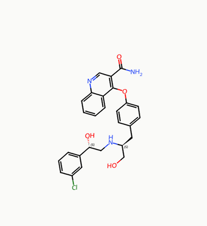 NC(=O)c1cnc2ccccc2c1Oc1ccc(C[C@@H](CO)NC[C@@H](O)c2cccc(Cl)c2)cc1